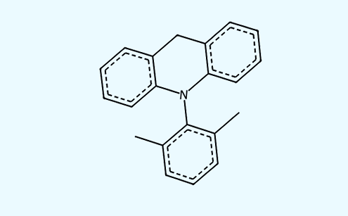 Cc1cccc(C)c1N1c2ccccc2Cc2ccccc21